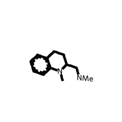 CNCC1CCc2ccccc2N1C